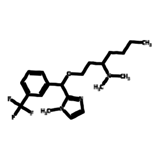 CCCCC(CCOC(c1cccc(C(F)(F)F)c1)c1nccn1C)N(C)C